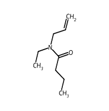 C=CCN(CC)C(=O)CCC